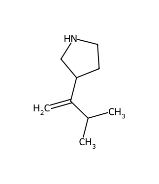 C=C(C(C)C)C1CCNC1